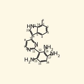 Cc1cccc2c(-c3ccnc(-c4c(N)ccc(N)c4N)n3)c[nH]c12